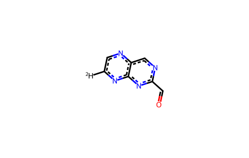 [2H]c1cnc2cnc(C=O)nc2n1